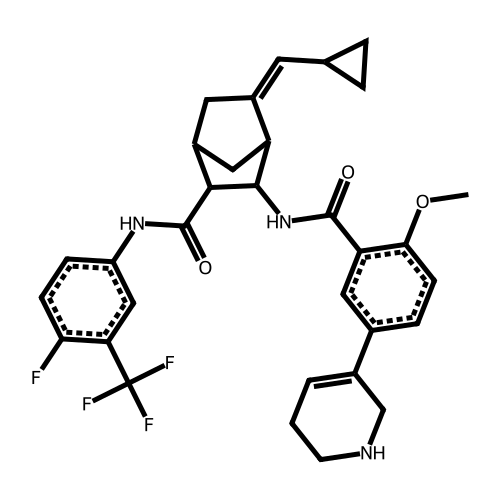 COc1ccc(C2=CCCNC2)cc1C(=O)NC1C2CC(CC2=CC2CC2)C1C(=O)Nc1ccc(F)c(C(F)(F)F)c1